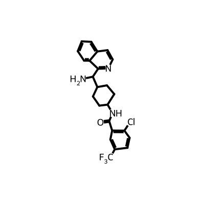 NC(c1nccc2ccccc12)C1CCC(NC(=O)c2cc(C(F)(F)F)ccc2Cl)CC1